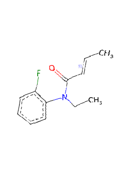 C/C=C/C(=O)N(CC)c1ccccc1F